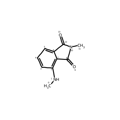 CNc1cccc2c1C(=O)N(C)C2=O